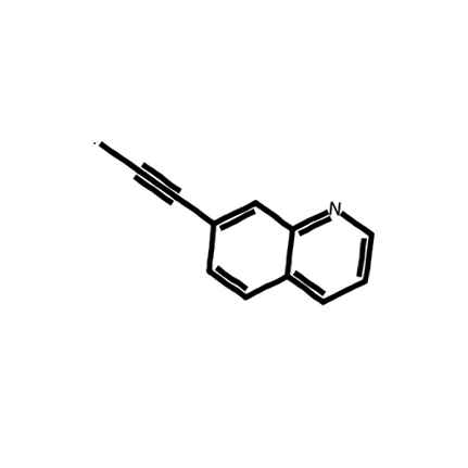 [CH2]C#Cc1ccc2cccnc2c1